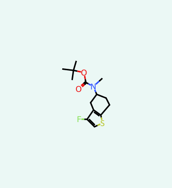 CN(C(=O)OC(C)(C)C)C1CCc2scc(F)c2C1